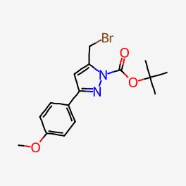 COc1ccc(-c2cc(CBr)n(C(=O)OC(C)(C)C)n2)cc1